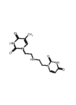 Cc1cn(CCNCCn2ccc(=O)[nH]c2=O)c(=O)[nH]c1=O